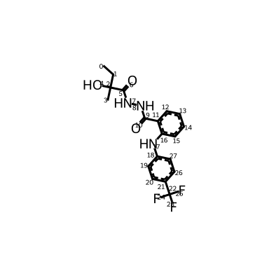 CCC(C)(O)C(=O)NNC(=O)c1ccccc1Nc1ccc(C(F)(F)F)cc1